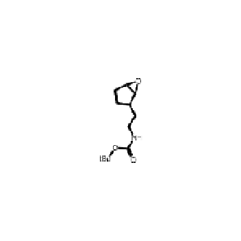 CC(C)(C)OC(=O)NCCC1CCC2OC12